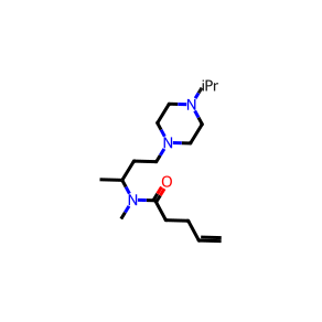 C=CCCC(=O)N(C)C(C)CCN1CCN(C(C)C)CC1